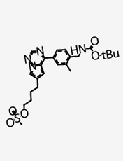 Cc1cc(-c2ncnn3cc(CCCCOS(C)(=O)=O)cc23)ccc1CNC(=O)OC(C)(C)C